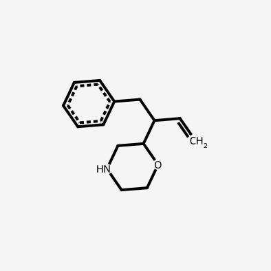 C=CC(Cc1ccccc1)C1CNCCO1